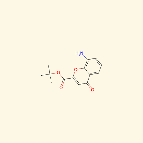 CC(C)(C)OC(=O)c1cc(=O)c2cccc(N)c2o1